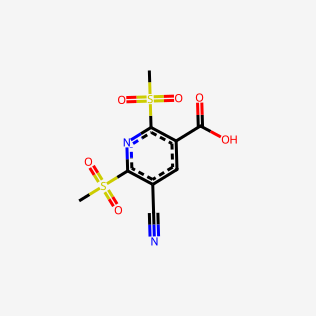 CS(=O)(=O)c1nc(S(C)(=O)=O)c(C(=O)O)cc1C#N